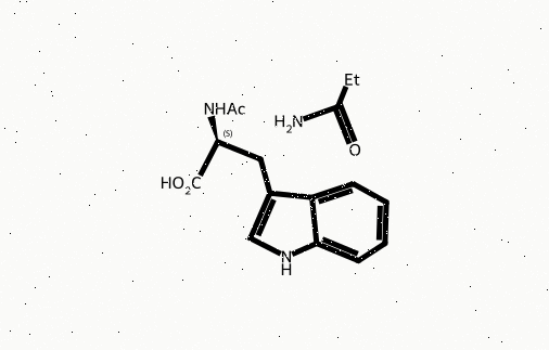 CC(=O)N[C@@H](Cc1c[nH]c2ccccc12)C(=O)O.CCC(N)=O